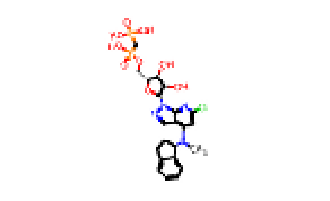 CN(c1cc(Cl)nc2c1cnn2[C@@H]1O[C@H](COP(=O)(O)CP(=O)(O)O)[C@@H](O)[C@H]1O)[C@@H]1CCc2ccccc21